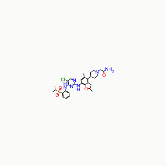 Cc1cc(Nc2ncc(Cl)c(Nc3ccccc3S(=O)(=O)C(C)C)n2)c2c(c1C1CCN(CC(N)=O)CC1)CC(C)O2